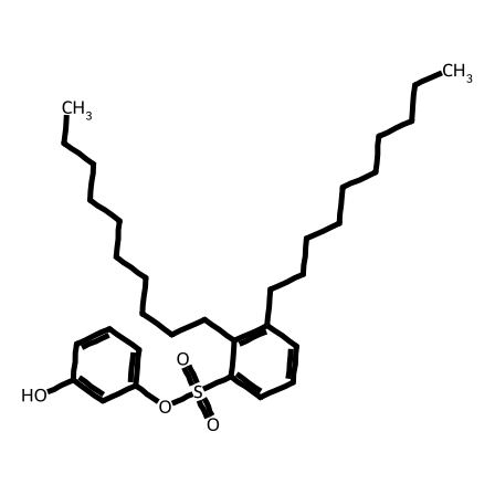 CCCCCCCCCCc1cccc(S(=O)(=O)Oc2cccc(O)c2)c1CCCCCCCCCC